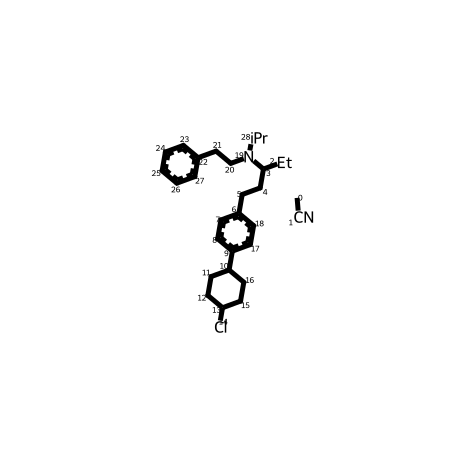 CC#N.CCC(CCc1ccc(C2CCC(Cl)CC2)cc1)N(CCc1ccccc1)C(C)C